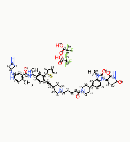 Cc1ccc(NC2CNC2)cc1C(=O)N[C@@H](C)c1ccc(C#CC2CCN(CCCCC(=O)N3CCC(c4ccc5c(c4)n(C)c(=O)n5C4CCC(=O)NC4=O)CC3)CC2)c(-c2cccs2)c1.O=C(O)C(F)(F)F.O=C(O)C(F)(F)F